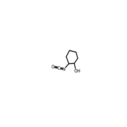 O=C=NC1CCCCC1O